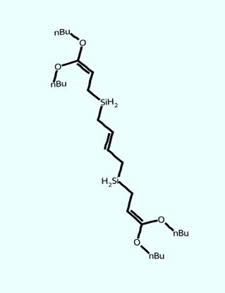 CCCCOC(=CC[SiH2]CC=CC[SiH2]CC=C(OCCCC)OCCCC)OCCCC